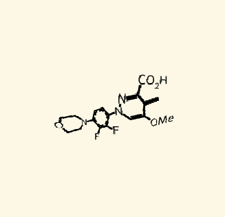 C=C1C(OC)=CN(c2ccc(N3CCOCC3)c(F)c2F)N=C1C(=O)O